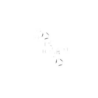 O=C(O)N[C@@H](Cc1ccccc1)[C@H](O)CNCc1ccc(Cl)c(Cl)c1